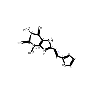 CCCn1c(=O)c2[nH]c(/C=C/c3cccs3)nc2n(CCC)c1=O